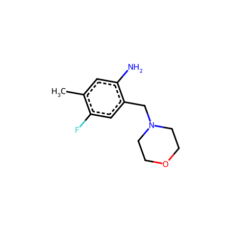 Cc1cc(N)c(CN2CCOCC2)cc1F